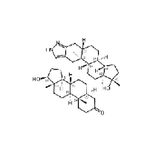 C[C@]12CCC(=O)C[C@@H]1CC[C@@H]1[C@@H]2CC[C@]2(C)[C@@H](O)CC[C@@H]12.C[C@]12Cc3c[nH]nc3C[C@@H]1CC[C@@H]1[C@@H]2CC[C@@]2(C)[C@H]1CC[C@]2(C)O